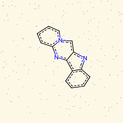 c1ccc2c3nc4ccccn4cc-3nc2c1